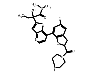 CCC(O)(C(=O)N(C)C)c1cc2nccc(-c3cc(Cl)cc4c3OC(C(=O)N3CCNCC3)C4)c2s1